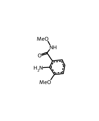 CONC(=O)c1cccc(OC)c1N